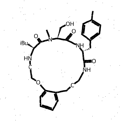 CCC(C)[C@@H]1NCCOc2ccccc2CCCNC(=O)[C@@H](Cc2ccc(C)cc2)NC(=O)[C@H](CO)N(C)C1=O